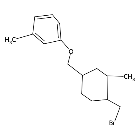 Cc1cccc(OCC2CCC(CBr)C(C)C2)c1